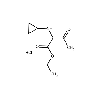 CCOC(=O)C(NC1CC1)C(C)=O.Cl